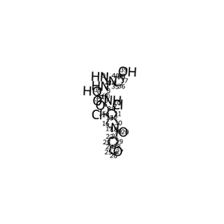 N=C(NC[C@H](NC(=O)c1c(Cl)cc2c(c1Cl)CCN(C(=O)c1ccc3ccoc3c1)C2)C(=O)O)N1CCC[C@@H](O)C1